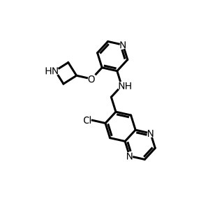 Clc1cc2nccnc2cc1CNc1cnccc1OC1CNC1